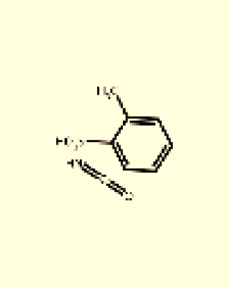 Cc1ccccc1S(=O)(=O)O.N=C=O